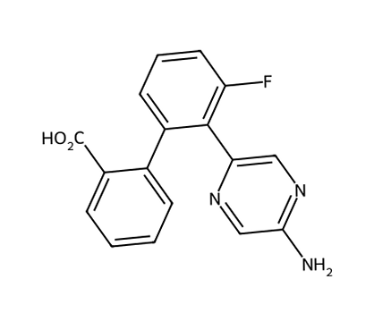 Nc1cnc(-c2c(F)cccc2-c2ccccc2C(=O)O)cn1